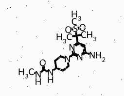 CNC(=O)NC1CCN(c2nc(N)cc(C(C)(C)S(C)(=O)=O)n2)CC1